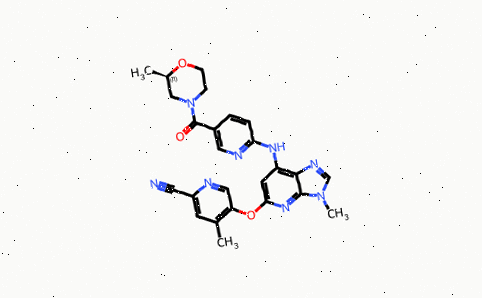 Cc1cc(C#N)ncc1Oc1cc(Nc2ccc(C(=O)N3CCO[C@H](C)C3)cn2)c2ncn(C)c2n1